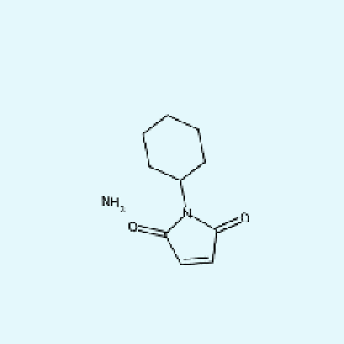 N.O=C1C=CC(=O)N1C1CCCCC1